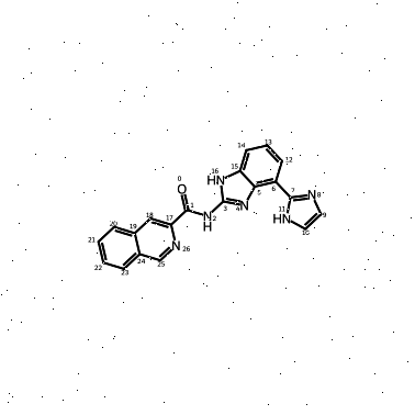 O=C(Nc1nc2c(-c3ncc[nH]3)cccc2[nH]1)c1cc2ccccc2cn1